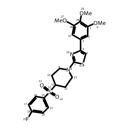 COc1cc(-c2csc(N3CCC(S(=O)(=O)c4ccc(F)cc4)CC3)n2)cc(OC)c1OC